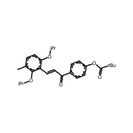 Cc1ccc(OC(C)C)c(/C=C/C(=O)c2ccc(OC(=O)C(C)(C)C)cc2)c1OC(C)C